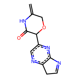 C=C1COC(c2cnc3c(n2)N=CC3)C(=O)N1